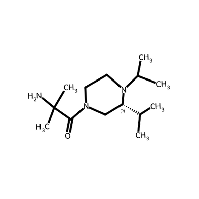 CC(C)[C@@H]1CN(C(=O)C(C)(C)N)CCN1C(C)C